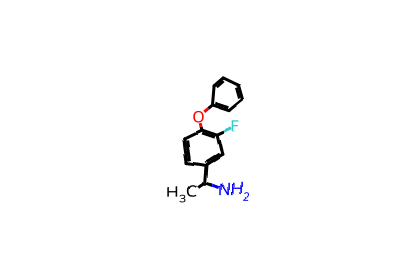 CC(N)c1ccc(Oc2ccccc2)c(F)c1